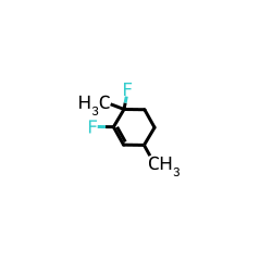 CC1C=C(F)C(C)(F)CC1